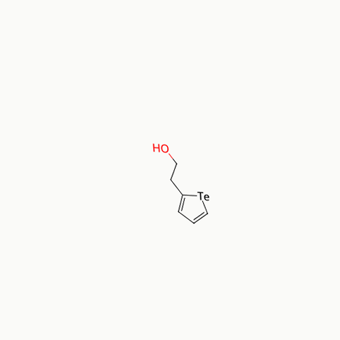 OCCc1ccc[te]1